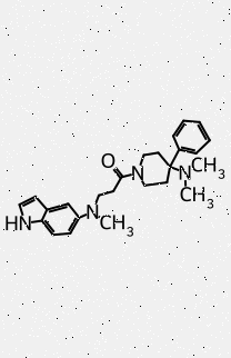 CN(CCC(=O)N1CCC(c2ccccc2)(N(C)C)CC1)c1ccc2[nH]ccc2c1